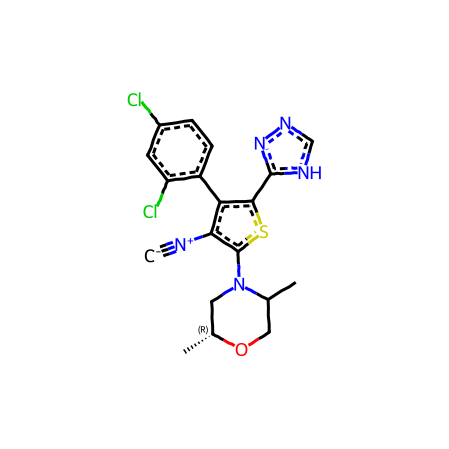 [C-]#[N+]c1c(N2C[C@@H](C)OCC2C)sc(-c2nnc[nH]2)c1-c1ccc(Cl)cc1Cl